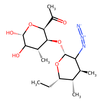 CC[C@@H]1O[C@H](O[C@H]2[C@H](C)C(O)[C@H](O)O[C@H]2C(C)=O)C(N=[N+]=[N-])[C@@H](C)[C@@H]1C